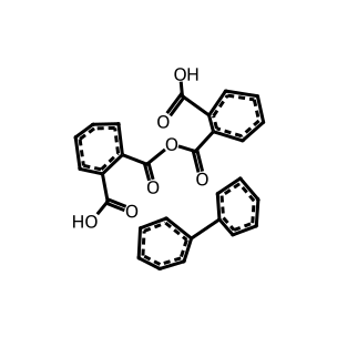 O=C(O)c1ccccc1C(=O)OC(=O)c1ccccc1C(=O)O.c1ccc(-c2ccccc2)cc1